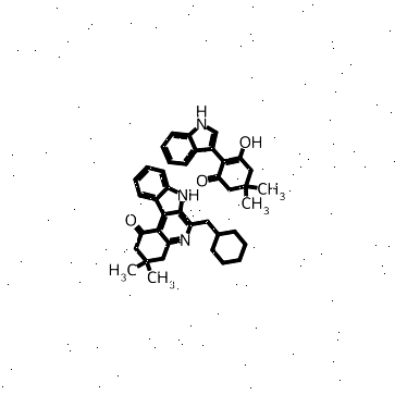 CC1(C)CC(=O)C(c2c[nH]c3ccccc23)=C(O)C1.CC1(C)CC(=O)c2c(nc(CC3CCCCC3)c3[nH]c4ccccc4c23)C1